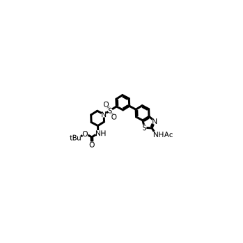 CC(=O)Nc1nc2ccc(-c3cccc(S(=O)(=O)N4CCCC(NC(=O)OC(C)(C)C)C4)c3)cc2s1